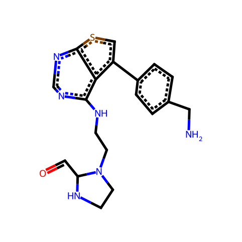 NCc1ccc(-c2csc3ncnc(NCCN4CCNC4C=O)c23)cc1